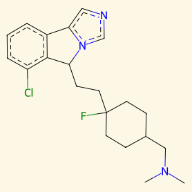 CN(C)CC1CCC(F)(CCC2c3c(Cl)cccc3-c3cncn32)CC1